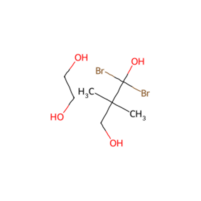 CC(C)(CO)C(O)(Br)Br.OCCO